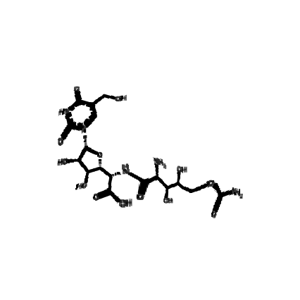 NC(=O)OC[C@H](O)[C@@H](O)[C@H](N)C(=O)N[C@H](C(=O)O)[C@H]1O[C@@H](n2cc(CO)c(=O)[nH]c2=O)[C@H](O)[C@@H]1O